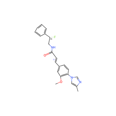 COc1cc(/C=C/C(=O)NC[C@@H](F)c2ccccc2)ccc1-n1cnc(C)c1